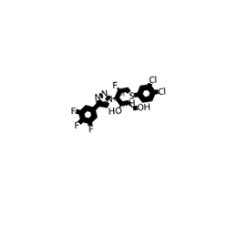 OC[C@@H]1[C@H](O)[C@H](n2cc(-c3cc(F)c(F)c(F)c3)nn2)[C@@H](F)C[SH]1c1ccc(Cl)c(Cl)c1